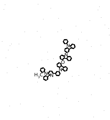 Cc1ccccc1-n1c2ccccc2c2nc(-c3cccc(-n4c5ccccc5c5c(Oc6cccc7c6c6ccccc6n7-c6ccc7c(c6)c6ccccc6n7-c6ccccc6)cccc54)c3)ccc21